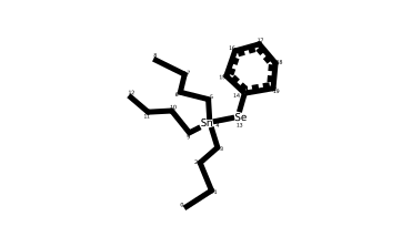 CCC[CH2][Sn]([CH2]CCC)([CH2]CCC)[Se]c1ccccc1